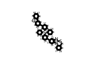 c1ccc([Si](c2ccccc2)(c2cccc(-c3ccc4c(c3)nc3n4-c4ccccc4CS3)c2)c2cccc(-c3ccc4oc5ccccc5c4c3)c2)cc1